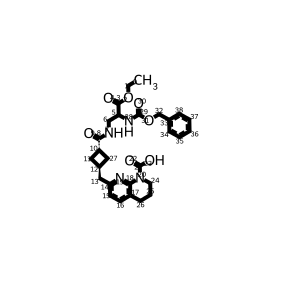 CCOC(=O)C(CNC(=O)[C@H]1C[C@H](Cc2ccc3c(n2)N(C(=O)O)CCC3)C1)NC(=O)OCc1ccccc1